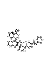 Oc1ccc(-c2c3ccccc3cc3c2ccc2c(-c4ccc(-c5nc6ccccc6o5)cc4)cccc23)c2cccnc12